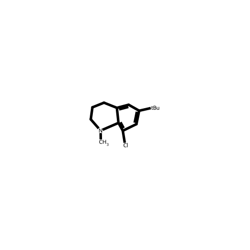 CN1CCCc2cc(C(C)(C)C)cc(Cl)c21